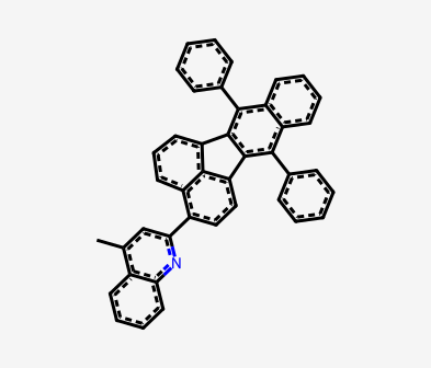 Cc1cc(-c2ccc3c4c(cccc24)-c2c-3c(-c3ccccc3)c3ccccc3c2-c2ccccc2)nc2ccccc12